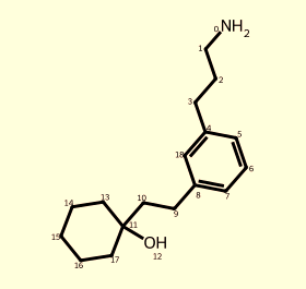 NCCCc1cccc(CCC2(O)CCCCC2)c1